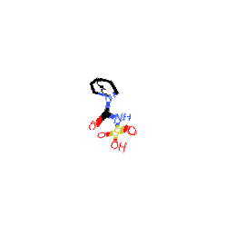 O=C(NS(=O)(=O)O)[N+]12CCC(CC1)CC2